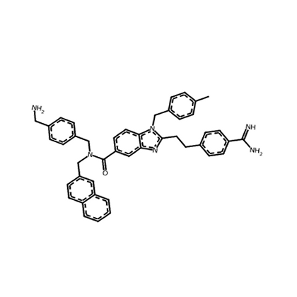 Cc1ccc(Cn2c(CCc3ccc(C(=N)N)cc3)nc3cc(C(=O)N(Cc4ccc(CN)cc4)Cc4ccc5ccccc5c4)ccc32)cc1